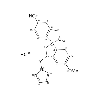 COc1ccc(C2(CCCn3cccn3)OCc3cc(C#N)ccc32)cc1.Cl